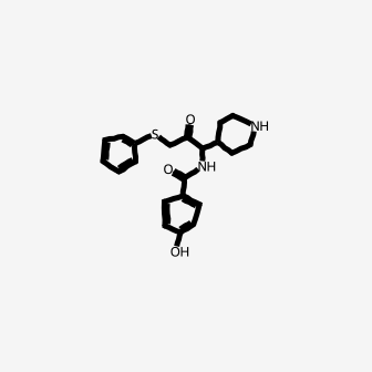 O=C(NC(C(=O)CSc1ccccc1)C1CCNCC1)c1ccc(O)cc1